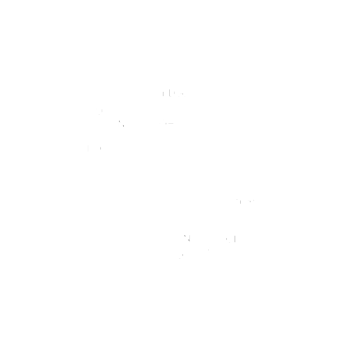 CCCCCCCCCCC(O)C[N+](C)([O-])CCCCCC[N+](C)([O-])CC(O)CCCCCCCCCC